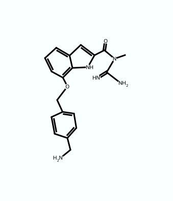 CN(C(=N)N)C(=O)c1cc2cccc(OCc3ccc(CN)cc3)c2[nH]1